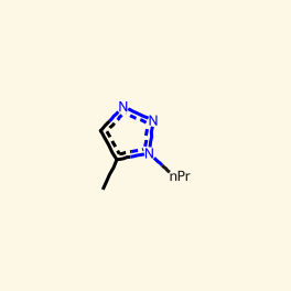 CCCn1nncc1C